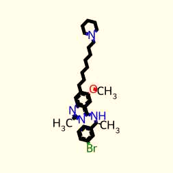 COc1cc2c(N[C@H](C)c3cccc(Br)c3)nc(C)nc2cc1CCCCCCCCN1CCCCC1